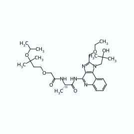 CCOCc1nc2c(NC(=O)[C@H](C)NC(=O)COCCC(C)(C)OC(C)C)nc3ccccc3c2n1CC(C)(C)O